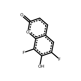 O=c1ccc2cc(F)c(O)c(F)c2o1